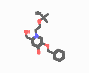 CC(C)(C)[Si](C)(C)OCCn1cc(OCc2ccccc2)c(=O)cc1CO